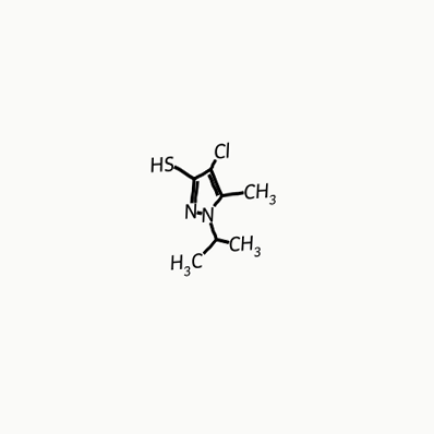 Cc1c(Cl)c(S)nn1C(C)C